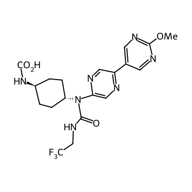 COc1ncc(-c2cnc(N(C(=O)NCC(F)(F)F)[C@H]3CC[C@H](NC(=O)O)CC3)cn2)cn1